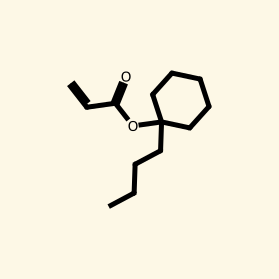 C=CC(=O)OC1(CCCC)CCCCC1